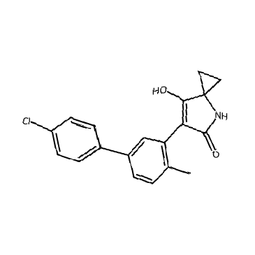 Cc1ccc(-c2ccc(Cl)cc2)cc1C1=C(O)C2(CC2)NC1=O